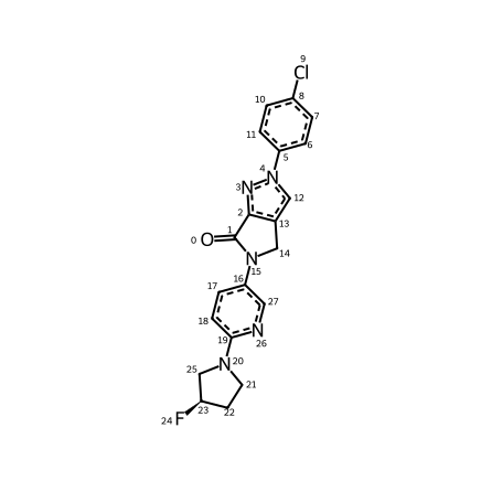 O=C1c2nn(-c3ccc(Cl)cc3)cc2CN1c1ccc(N2CC[C@@H](F)C2)nc1